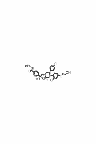 CCCNC(=O)c1ccc([C@](C)(O)CN2CCN(c3ccc(OCCO)cc3Cl)[C@H](c3ccc(Cl)cc3)C2)cn1